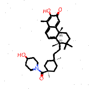 CC1=C(O)C(=O)C=C2C1=CC=C1[C@@]2(C)CCC(C)(C)[C@]1(C)CC[C@]1(C)CC[C@](C)(C(=O)N2CCC(O)CC2)CC1